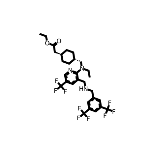 CCOC(=O)C[C@H]1CC[C@H](CN(CC)c2ncc(C(F)(F)F)cc2CNCc2cc(C(F)(F)F)cc(C(F)(F)F)c2)CC1